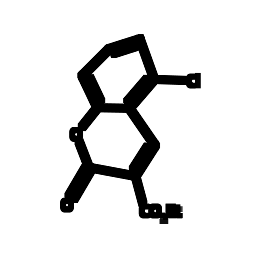 CCOC(=O)c1cc2c(Cl)cccc2oc1=O